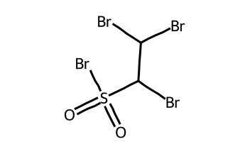 O=S(=O)(Br)C(Br)C(Br)Br